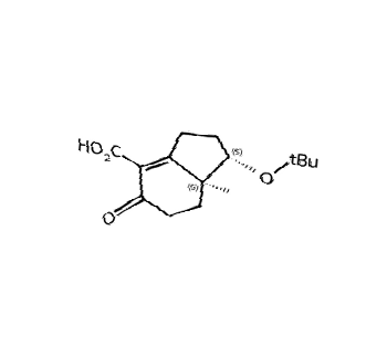 CC(C)(C)O[C@H]1CCC2=C(C(=O)O)C(=O)CC[C@@]21C